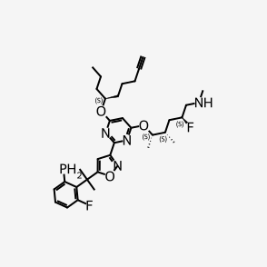 C#CCCC[C@H](CCC)Oc1cc(O[C@@H](C)[C@@H](C)C[C@H](F)CNC)nc(-c2cc(C(C)(C)c3c(F)cccc3P)on2)n1